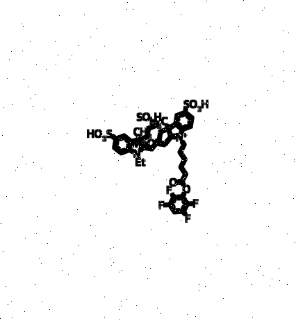 CCN1/C(=C/C=C/C2=[N+](CCCCCC(=O)Oc3c(F)c(F)cc(F)c3F)c3ccc(S(=O)(=O)O)cc3C2(C)CCOC)C(C)(CCCS(=O)(=O)O)c2cc(S(=O)(=O)O)ccc21